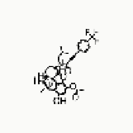 CC(=O)Oc1cc(O)c2c3c1O[C@H]1[C@H](N(CC(C)C)C(=O)C#Cc4ccc(C(F)(F)F)cc4)CC[C@H]4[C@@H](C2)N(C)CC[C@@]341